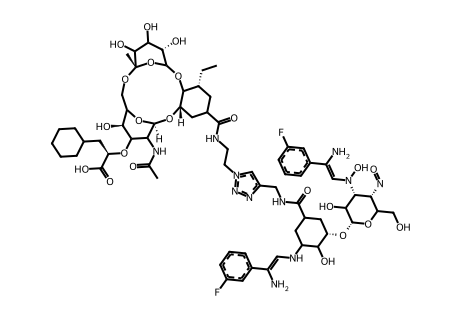 CC[C@@H]1CC(C(=O)NCCn2cc(CNC(=O)C3CC(N/C=C(\N)c4cccc(F)c4)C(O)[C@@H](O[C@H]4OC(CO)[C@@H](N=O)[C@@H](N(O)/C=C(\N)c5cccc(F)c5)C4O)C3)nn2)C[C@@H]2O[C@@H]3OC(CO[C@@]4(C)OC(OC12)[C@@H](O)C(O)C4O)[C@H](O)C(O[C@H](CC1CCCCC1)C(=O)O)C3NC(C)=O